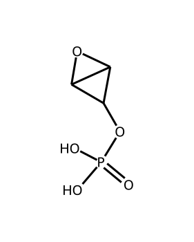 O=P(O)(O)OC1C2OC21